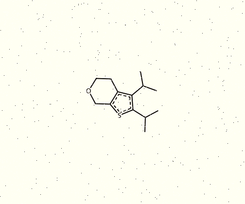 CC(C)c1sc2c(c1C(C)C)CCOC2